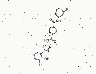 O=C(Nc1nnc(-c2cc(Cl)cc(Cl)c2O)s1)c1ccc(C(=O)Nc2cc(F)ccc2F)cc1